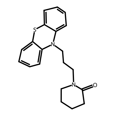 O=C1CCCCN1CCCN1c2ccccc2Sc2ccccc21